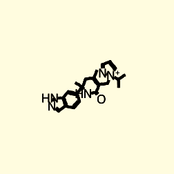 CC1=C(C[N+]2(C(C)C)C=CC=N2)C(=O)NC(C)(c2ccc3cn[nH]c3c2)C1